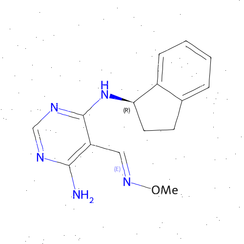 CO/N=C/c1c(N)ncnc1N[C@@H]1CCc2ccccc21